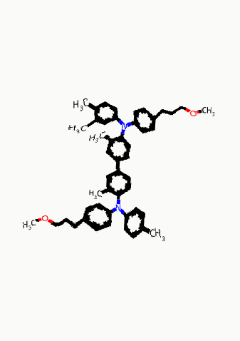 COCCCc1ccc(N(c2ccc(C)cc2)c2ccc(-c3ccc(N(c4ccc(CCCOC)cc4)c4ccc(C)c(C)c4)c(C)c3)cc2C)cc1